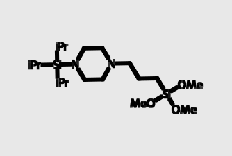 CO[Si](CCCN1CCN([Si](C(C)C)(C(C)C)C(C)C)CC1)(OC)OC